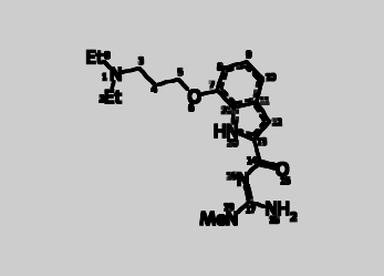 CCN(CC)CCCOc1cccc2cc(C(=O)N=C(N)NC)[nH]c12